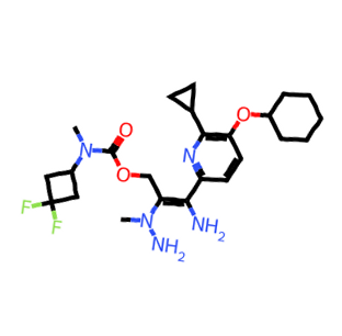 CN(N)/C(COC(=O)N(C)C1CC(F)(F)C1)=C(\N)c1ccc(OC2CCCCC2)c(C2CC2)n1